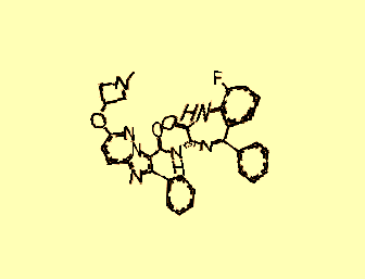 CN1CC(Oc2ccc3nc(-c4ccccc4)c(C(=O)N[C@H]4N=C(c5ccccc5)c5cccc(F)c5NC4=O)n3n2)C1